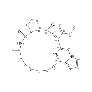 CCN1C(=O)NC(C)CCCCCOc2nc(cn3ccnc23)-c2cc(ncc2OC)[C@H]1C